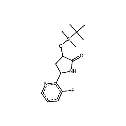 CC(C)(C)[Si](C)(C)OC1CC(c2ncccc2F)NC1=O